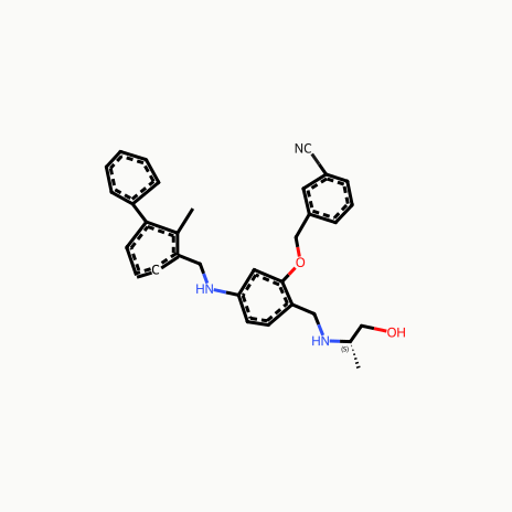 Cc1c(CNc2ccc(CN[C@@H](C)CO)c(OCc3cccc(C#N)c3)c2)cccc1-c1ccccc1